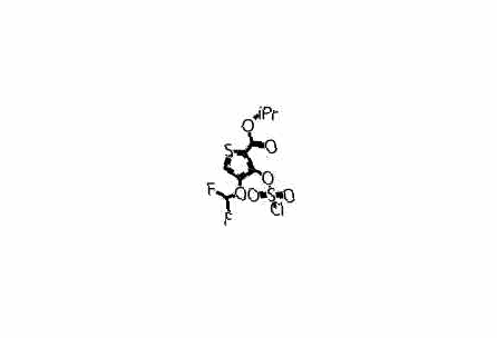 CC(C)OC(=O)c1scc(OC(F)F)c1OS(=O)(=O)Cl